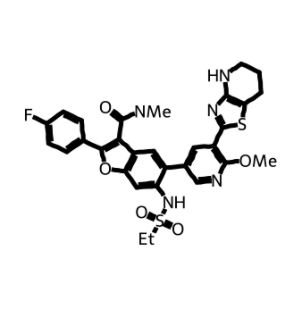 CCS(=O)(=O)Nc1cc2oc(-c3ccc(F)cc3)c(C(=O)NC)c2cc1-c1cnc(OC)c(-c2nc3c(s2)CCCN3)c1